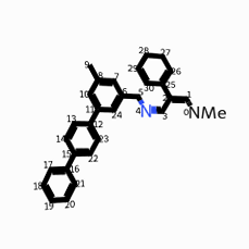 CN/C=C(\C=N/Cc1cc(C)cc(-c2ccc(-c3ccccc3)cc2)c1)C1=CCCC=C1